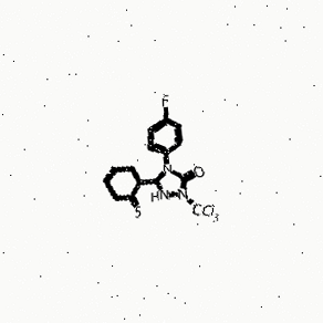 O=C1N(c2ccc(F)cc2)C(C2CCCCC2=S)NN1C(Cl)(Cl)Cl